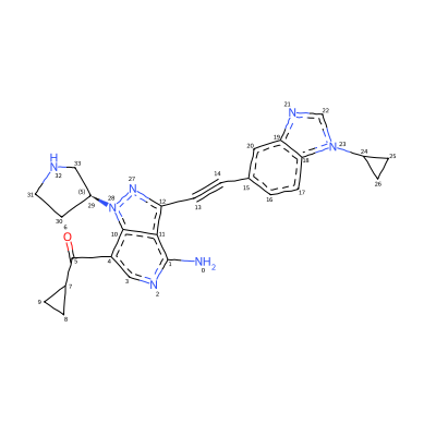 Nc1ncc(C(=O)C2CC2)c2c1c(C#Cc1ccc3c(c1)ncn3C1CC1)nn2[C@H]1CCNC1